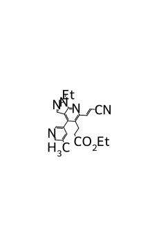 CCOC(=O)CCc1c(C=CC#N)nc2c(cnn2CC)c1-c1cncc(C)c1